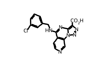 O=C(O)c1nnn2c1nc(NCc1cccc(Cl)c1)c1ccncc12